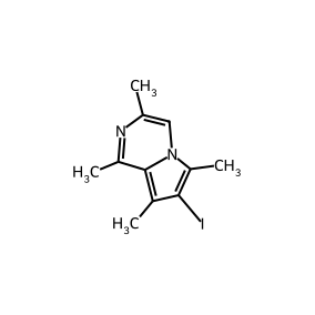 Cc1cn2c(C)c(I)c(C)c2c(C)n1